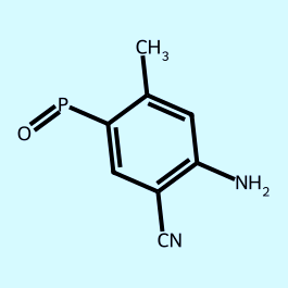 Cc1cc(N)c(C#N)cc1P=O